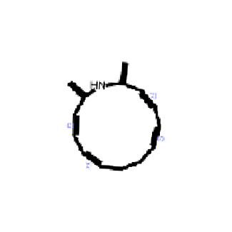 C=C1/C=C\C=C/CC/C=C\C=C/C(=C)N1